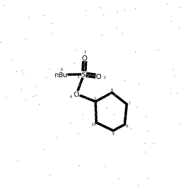 CCCCS(=O)(=O)OC1CCCCC1